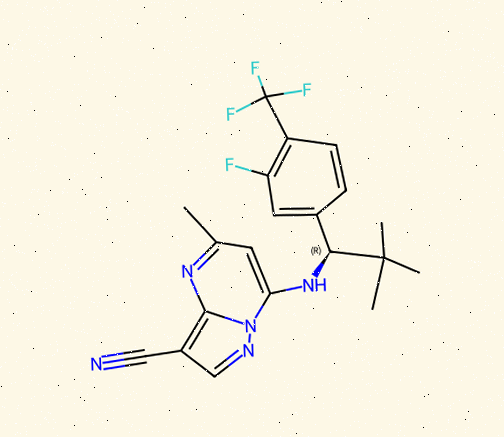 Cc1cc(N[C@@H](c2ccc(C(F)(F)F)c(F)c2)C(C)(C)C)n2ncc(C#N)c2n1